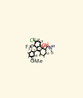 COc1cccc(C=C2CCCC(CN(C)C)C2(O)c2ccc(Cl)c(C(F)(F)F)c2)c1